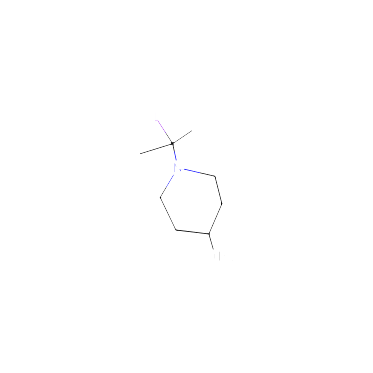 CC(C)(C)C1CCN(C(C)(C)I)CC1